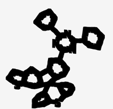 c1ccc(-c2nc(-c3ccccc3)nc(-c3ccc4c(c3)-c3cc5ccsc5cc3C43c4ccccc4Sc4ccccc43)n2)cc1